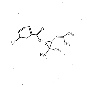 CC(C)=C[C@H]1[C@@H](OC(=O)C2=CC=CN(C)C2)C1(C)C